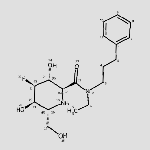 CCN(CCCc1ccccc1)C(=O)[C@H]1N[C@H](CO)[C@@H](O)[C@@H](F)[C@@H]1O